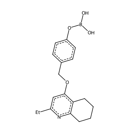 CCc1cc(OCc2ccc(OB(O)O)cc2)c2c(n1)CCCC2